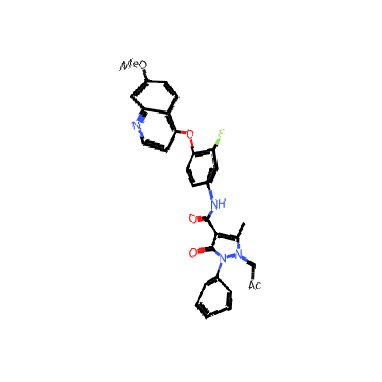 COc1ccc2c(Oc3ccc(NC(=O)c4c(C)n(CC(C)=O)n(-c5ccccc5)c4=O)cc3F)ccnc2c1